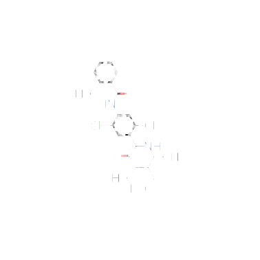 CCC(CC)[C@@H](C)NC(C=O)c1cc(Cl)c(NC(=O)c2ccccc2C)cc1C